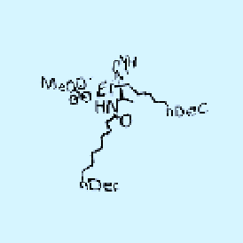 CCCCCCCCCCCCCCCCCC(=O)NC(C)C(CC)(CCCCCCCCCCCCCCC)[N+]1=CNCC1.COS(=O)(=O)[O-]